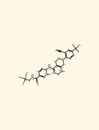 N#Cc1cc(C(F)(F)F)ccc1N1CCC2=C(C1)NCN=C2NC1C=CC(C(=O)NCC(F)(F)F)=CN1